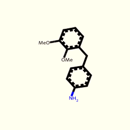 COc1cccc(Cc2ccc(N)cc2)c1OC